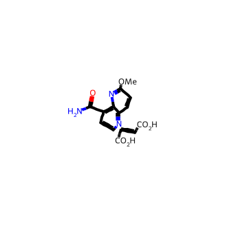 COc1ccc2nccc(C(N)=O)c2n1.O=C(O)/C=C/C(=O)O